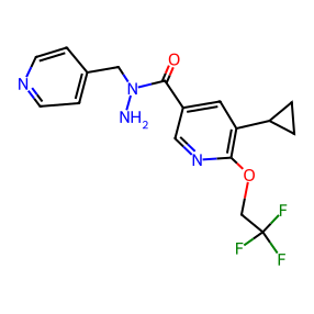 NN(Cc1ccncc1)C(=O)c1cnc(OCC(F)(F)F)c(C2CC2)c1